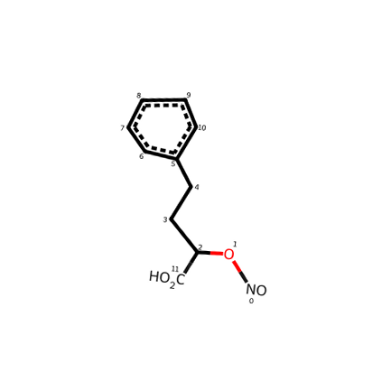 O=NOC(CCc1ccccc1)C(=O)O